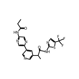 CCC(=O)Nc1cnc(-c2cncc(C(C)C(=O)Nc3ncc(C(F)(F)F)s3)c2)cn1